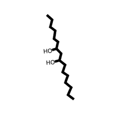 CCCCCCCC(O)CC(O)CCCCCC